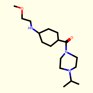 COCCNC1CCC(C(=O)N2CCN(C(C)C)CC2)CC1